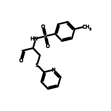 Cc1ccc(S(=O)(=O)NC([C]=O)CSc2ccccn2)cc1